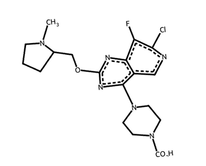 CN1CCCC1COc1nc(N2CCN(C(=O)O)CC2)c2cnc(Cl)c(F)c2n1